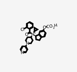 O=C(O)Oc1ccc2c(c1)[C@H]([N+](C(=O)c1ccccc1Cl)(C1CC1)C1CCN(c3ccncc3)CC1)CC2